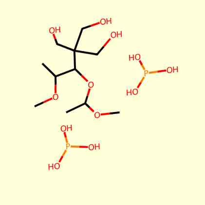 COC(C)OC(C(C)OC)C(CO)(CO)CO.OP(O)O.OP(O)O